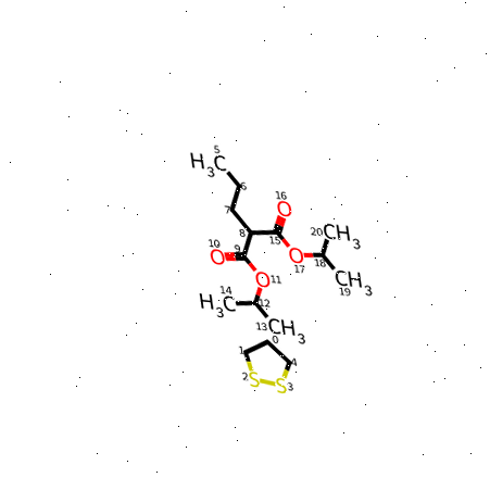 C1CSSC1.CCCC(C(=O)OC(C)C)C(=O)OC(C)C